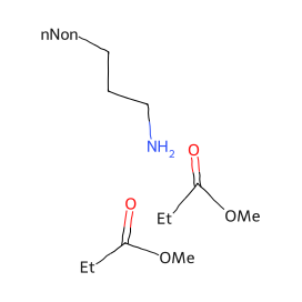 CCC(=O)OC.CCC(=O)OC.CCCCCCCCCCCCN